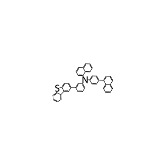 c1cc(-c2ccc3sc4ccccc4c3c2)cc(N(c2ccc(-c3cccc4ccccc34)cc2)c2cccc3ccccc23)c1